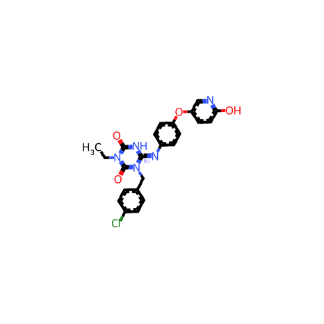 CCn1c(=O)[nH]/c(=N\c2ccc(Oc3ccc(O)nc3)cc2)n(Cc2ccc(Cl)cc2)c1=O